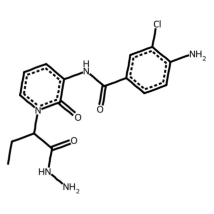 CCC(C(=O)NN)n1cccc(NC(=O)c2ccc(N)c(Cl)c2)c1=O